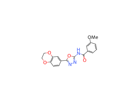 COc1cccc(C(=O)Nc2nnc(-c3ccc4c(c3)OCCO4)o2)c1